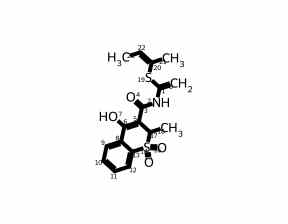 C=C(NC(=O)C1=C(O)c2ccccc2S(=O)(=O)C1C)S/C(C)=C\C